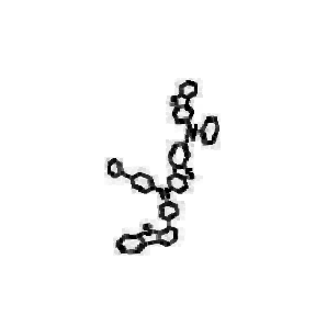 C1=CC(c2ccccc2)CC=C1N(c1ccc(-c2cccc3c2sc2ccccc23)cc1)C1C=Cc2sc3cc(N(c4ccccc4)c4ccc5sc6ccccc6c5c4)ccc3c2C1